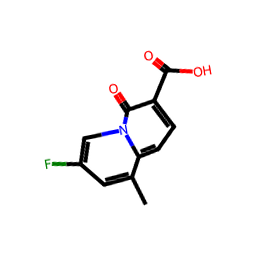 Cc1cc(F)cn2c(=O)c(C(=O)O)ccc12